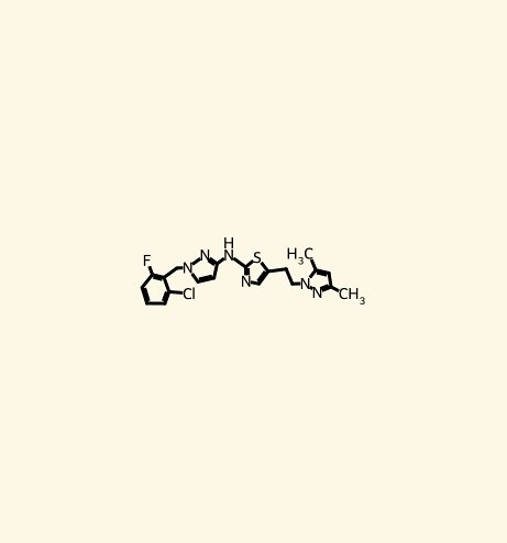 Cc1cc(C)n(CCc2cnc(Nc3ccn(Cc4c(F)cccc4Cl)n3)s2)n1